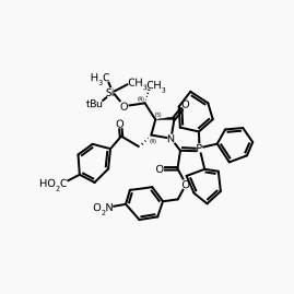 C[C@@H](O[Si](C)(C)C(C)(C)C)[C@H]1C(=O)N(C(C(=O)OCc2ccc([N+](=O)[O-])cc2)=P(c2ccccc2)(c2ccccc2)c2ccccc2)[C@@H]1CC(=O)c1ccc(C(=O)O)cc1